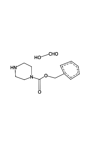 O=C(OCc1ccccc1)N1CCNCC1.O=CO